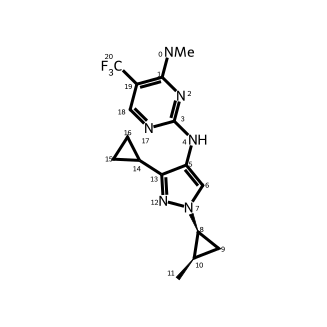 CNc1nc(Nc2cn([C@H]3C[C@H]3C)nc2C2CC2)ncc1C(F)(F)F